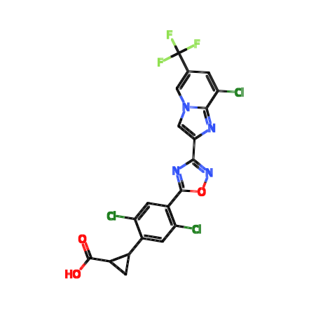 O=C(O)C1CC1c1cc(Cl)c(-c2nc(-c3cn4cc(C(F)(F)F)cc(Cl)c4n3)no2)cc1Cl